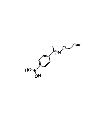 C=CCO/N=C(\C)c1ccc(B(O)O)cc1